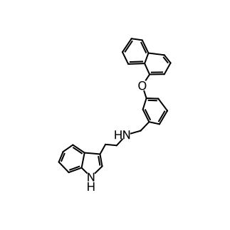 c1cc(CNCCc2c[nH]c3ccccc23)cc(Oc2cccc3ccccc23)c1